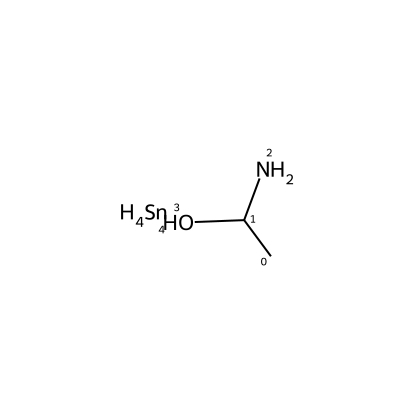 CC(N)O.[SnH4]